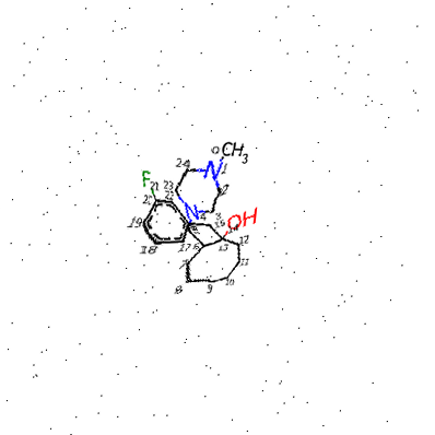 CN1CCN(CC2CCCCCCC2(O)Cc2cccc(F)c2)CC1